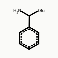 CC(C)(C)C(N)c1ccccc1